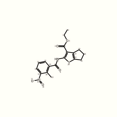 CCOC(=O)c1c(NC(=O)c2cccc([N+](=O)[O-])c2C)sc2c1CCC2